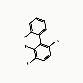 N#Cc1ccc(Br)c(F)c1-c1ccccc1F